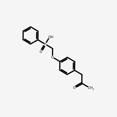 CC(=O)Cc1ccc(OCP(=O)(O)c2ccccc2)cc1